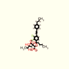 CCCCC1(c2ccc(C#Cc3ccc(CCC)cc3)c(F)c2F)O[C@@H](C(=O)O)[C@](CCCC)(C(=O)O)O1